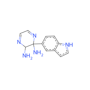 NC1N=CC=NC1(N)c1ccc2[nH]ccc2c1